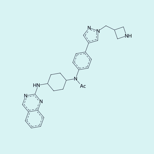 CC(=O)N(c1ccc(-c2cnn(CC3CNC3)c2)cc1)C1CCC(Nc2ncc3ccccc3n2)CC1